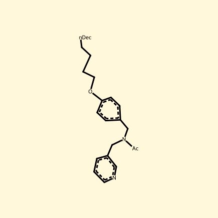 CCCCCCCCCCCCCCOc1ccc(CN(Cc2cccnc2)C(C)=O)cc1